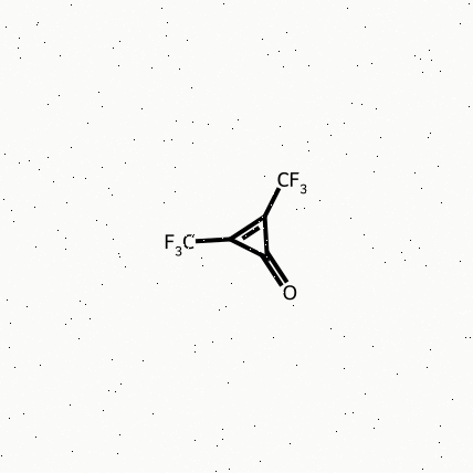 O=c1c(C(F)(F)F)c1C(F)(F)F